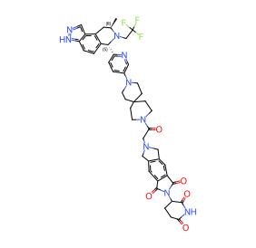 C[C@@H]1Cc2c(ccc3[nH]ncc23)[C@@H](c2ccc(N3CCC4(CCN(C(=O)CN5Cc6cc7c(cc6C5)C(=O)N(C5CCC(=O)NC5=O)C7=O)CC4)CC3)cn2)N1CC(F)(F)F